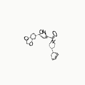 O=C(c1cc(-c2ccc3c(c2)OCO3)on1)N1CCC(c2ccccc2)CC1